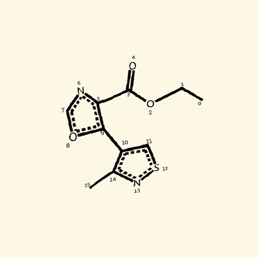 CCOC(=O)c1ncoc1-c1csnc1C